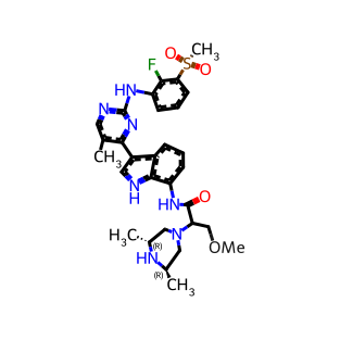 COCC(C(=O)Nc1cccc2c(-c3nc(Nc4cccc(S(C)(=O)=O)c4F)ncc3C)c[nH]c12)N1C[C@@H](C)N[C@H](C)C1